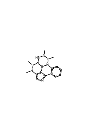 CB1N2BN(C)B(C)N3B2n2c(cnc2-c2ccccc23)N1C